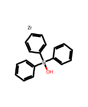 O[Si](c1ccccc1)(c1ccccc1)c1ccccc1.[Zr]